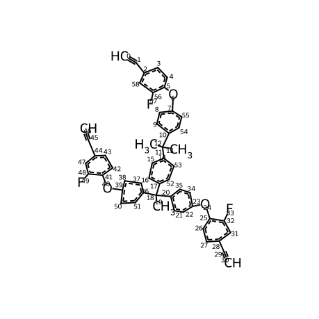 C#Cc1ccc(Oc2ccc(C(C)(C)c3ccc(C(C)(c4ccc(Oc5ccc(C#C)cc5F)cc4)c4ccc(Oc5ccc(C#C)cc5F)cc4)cc3)cc2)c(F)c1